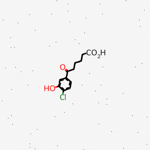 O=C(O)CCCCC(=O)c1ccc(Cl)c(O)c1